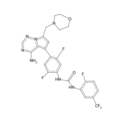 Nc1ncnn2c(CN3CCOCC3)cc(-c3cc(F)c(NC(=O)Nc4cc(C(F)(F)F)ccc4F)cc3F)c12